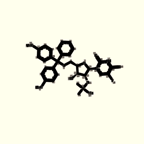 COc1ccc(C(OC[C@H]2O[C@@H](n3cc(F)c(=O)[nH]c3=O)[C@H](O[Si](C)(C)C(C)(C)C)[C@@H]2O)(c2ccccc2)c2ccc(OC)cc2)cc1